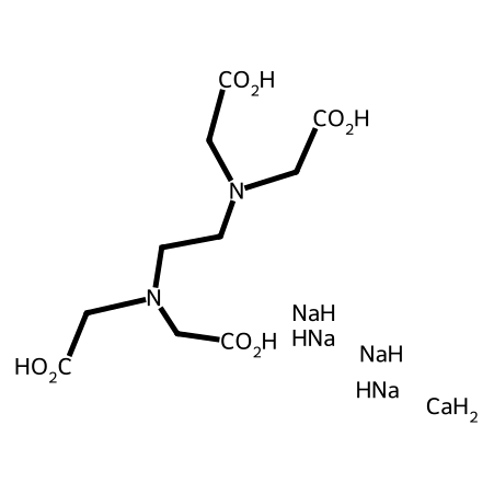 O=C(O)CN(CCN(CC(=O)O)CC(=O)O)CC(=O)O.[CaH2].[NaH].[NaH].[NaH].[NaH]